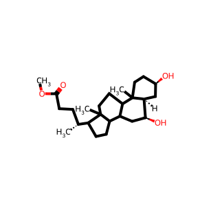 COC(=O)CC[C@@H](C)C1CCC2C3C[C@H](O)[C@@H]4C[C@H](O)CCC4(C)C3CCC21C